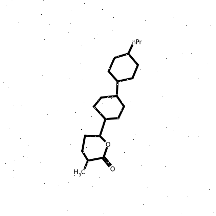 CCCC1CCC(C2CCC(C3CCC(C)C(=O)O3)CC2)CC1